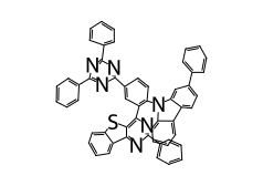 c1ccc(-c2ccc3c4ccccc4n(-c4ccc(-c5nc(-c6ccccc6)nc(-c6ccccc6)n5)cc4-c4nc(-c5ccccc5)nc5c4sc4ccccc45)c3c2)cc1